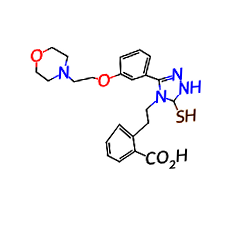 O=C(O)c1ccccc1CCN1C(c2cccc(OCCN3CCOCC3)c2)=NNC1S